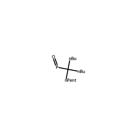 CCCCCC(CCCC)(CCCC)P=O